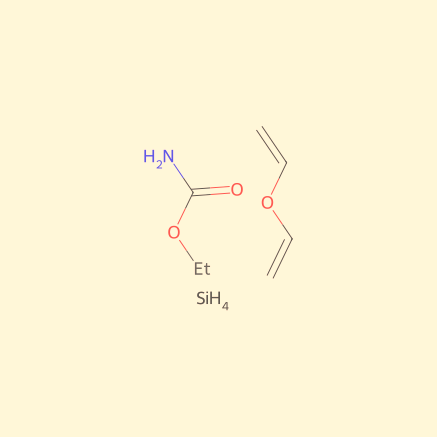 C=COC=C.CCOC(N)=O.[SiH4]